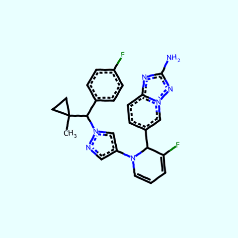 CC1(C(c2ccc(F)cc2)n2cc(N3C=CC=C(F)C3c3ccc4nc(N)nn4c3)cn2)CC1